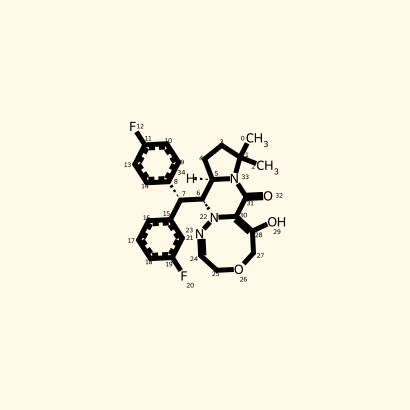 CC1(C)CC[C@@H]2[C@@H]([C@@H](c3ccc(F)cc3)c3cccc(F)c3)N3/N=C\COC/C(O)=C\3C(=O)N21